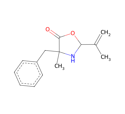 C=C(C)C1NC(C)(Cc2ccccc2)C(=O)O1